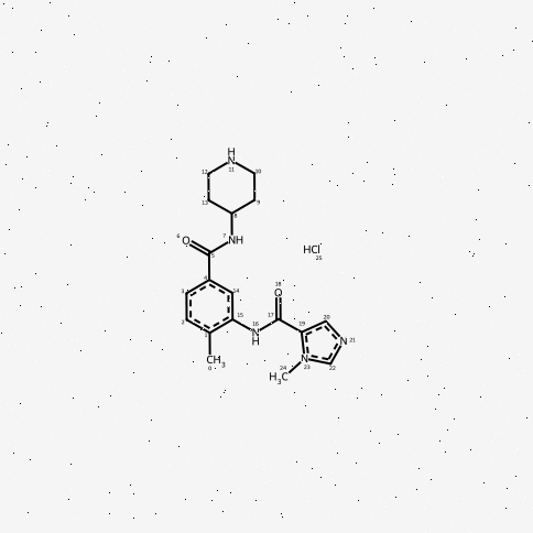 Cc1ccc(C(=O)NC2CCNCC2)cc1NC(=O)c1cncn1C.Cl